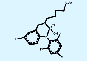 CNCCCCN1Cc2cc(Cl)ccc2N(c2c(F)cc(F)cc2F)S1(O)O